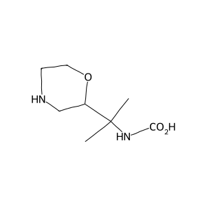 CC(C)(NC(=O)O)C1CNCCO1